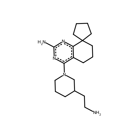 NCCC1CCCN(c2nc(N)nc3c2CCCC32CCCC2)C1